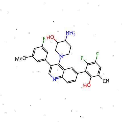 COc1cc(F)cc(-c2cnc3ccc(-c4c(O)c(C#N)cc(F)c4F)cc3c2N2CCC(N)C(O)C2)c1